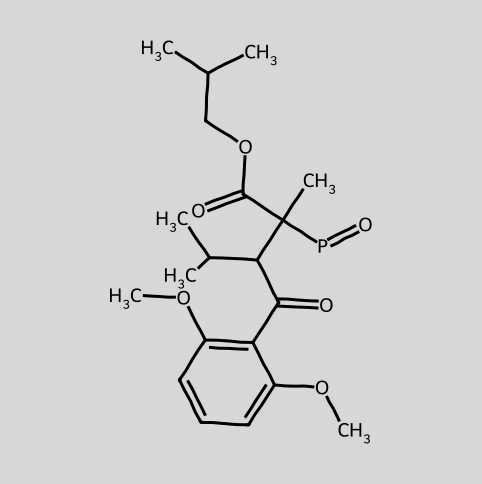 COc1cccc(OC)c1C(=O)C(C(C)C)C(C)(P=O)C(=O)OCC(C)C